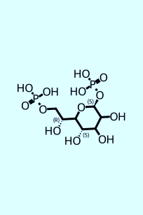 O=P(O)(O)OC[C@@H](O)C1O[C@@H](OP(=O)(O)O)C(O)C(O)[C@@H]1O